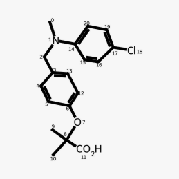 CN(Cc1ccc(OC(C)(C)C(=O)O)cc1)c1ccc(Cl)cc1